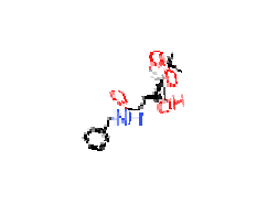 CC1(C)OC[C@@H]([C@H](O)CCC(=O)NCc2ccccc2)O1